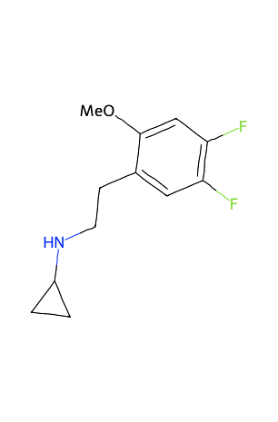 COc1cc(F)c(F)cc1CCNC1CC1